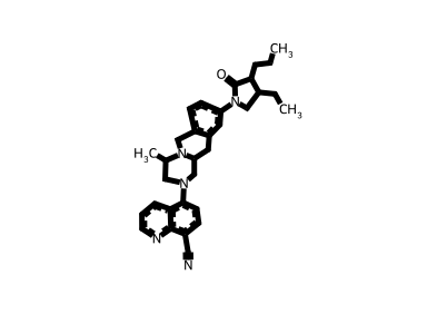 CCCC1C(=O)N(c2ccc3c(c2)CC2CN(c4ccc(C#N)c5ncccc45)CC(C)N2C3)CC1CC